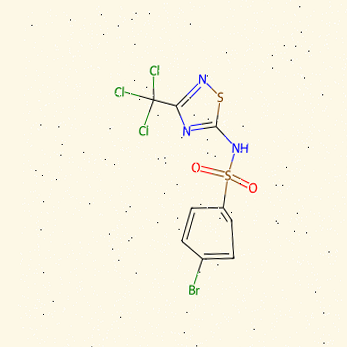 O=S(=O)(Nc1nc(C(Cl)(Cl)Cl)ns1)c1ccc(Br)cc1